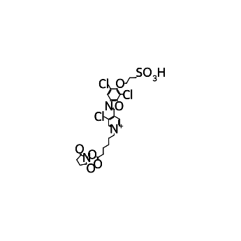 O=C(CCCCC[n+]1ccc(-c2nc3cc(Cl)c(OCCCS(=O)(=O)O)c(Cl)c3o2)c(Cl)c1)ON1C(=O)CCC1=O